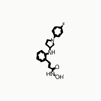 O=C(C=Cc1ccccc1NC1CCN(c2ccc(F)cc2)C1)NO